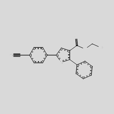 CCOC(=O)c1cc(-c2ccc(C#N)cc2)[nH]c1-c1ccccc1